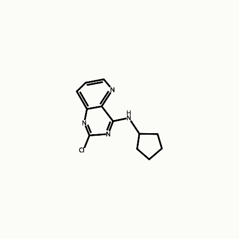 Clc1nc(NC2CCCC2)c2ncccc2n1